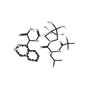 CC1(C)[C@@H]2[C@@H](C(=O)NC(C(N)=O)c3nncc4ccccc34)N(C(=O)[C@H](CC(F)F)NC(=O)C(F)(F)F)C[C@@H]21